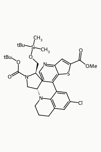 COC(=O)c1cc2nccc(-c3cc(Cl)cc4c3N([C@H]3C[C@H](CO[Si](C)(C)C(C)(C)C)N(C(=O)OC(C)(C)C)C3)CCC4)c2s1